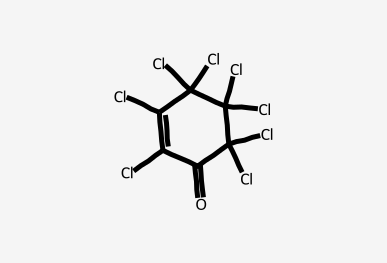 O=C1C(Cl)=C(Cl)C(Cl)(Cl)C(Cl)(Cl)C1(Cl)Cl